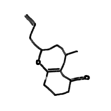 C=CCC1CC(C)C2=C(CCCC2=O)O1